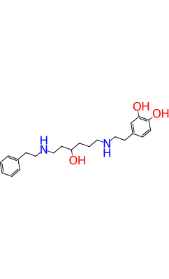 Oc1ccc(CCNCCCC(O)CCNCCc2ccccc2)cc1O